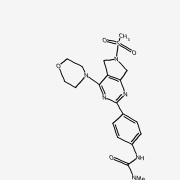 CNC(=O)Nc1ccc(-c2nc3c(c(N4CCOCC4)n2)CN(S(C)(=O)=O)C3)cc1